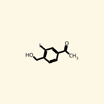 CC(=O)c1ccc(CO)c(I)c1